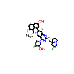 CCc1c(F)ccc2cc(O)cc(-c3ncc4c(N5CC[C@H](F)[C@H](O)C5)nc(OC[C@@]56CCCN5C[C@H](F)C6)nc4c3F)c12